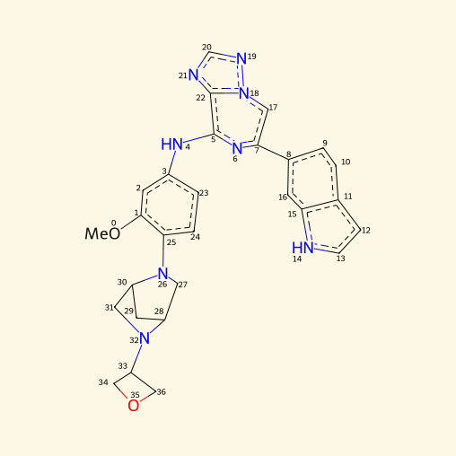 COc1cc(Nc2nc(-c3ccc4cc[nH]c4c3)cn3ncnc23)ccc1N1CC2CC1CN2C1COC1